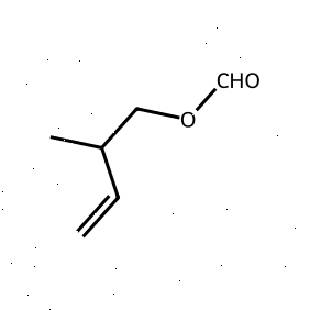 C=CC(C)COC=O